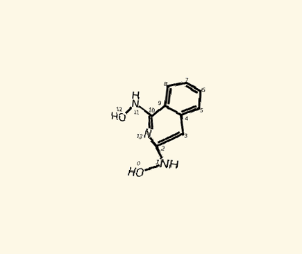 ONc1cc2ccccc2c(NO)n1